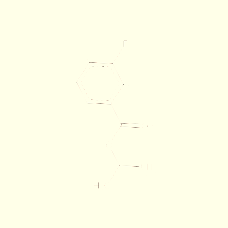 CC(C)OC(=O)c1cccc(F)c1